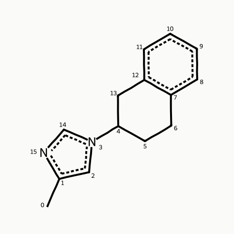 Cc1cn(C2CCc3ccccc3C2)cn1